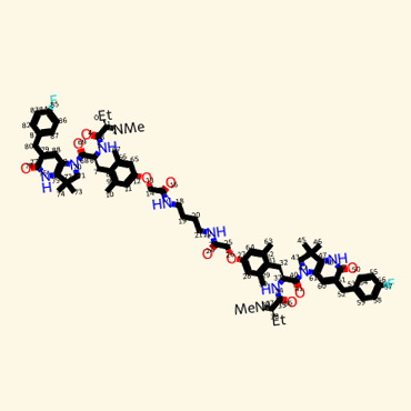 CC[C@H](NC)C(=O)N[C@@H](Cc1c(C)cc(OCC(=O)NCCCCNC(=O)COc2cc(C)c(C[C@H](NC(=O)[C@H](CC)NC)C(=O)N3CC(C)(C)c4[nH]c(=O)c(Cc5ccc(F)cc5)cc43)c(C)c2)cc1C)C(=O)N1CC(C)(C)c2[nH]c(=O)c(Cc3ccc(F)cc3)cc21